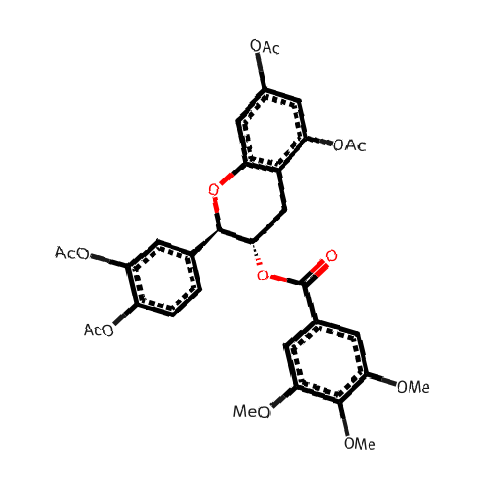 COc1cc(C(=O)O[C@H]2Cc3c(OC(C)=O)cc(OC(C)=O)cc3O[C@@H]2c2ccc(OC(C)=O)c(OC(C)=O)c2)cc(OC)c1OC